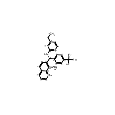 CCc1ccnc(N[C@H](c2ccc(C(F)(F)F)cc2)c2ccc3cccnc3c2O)n1